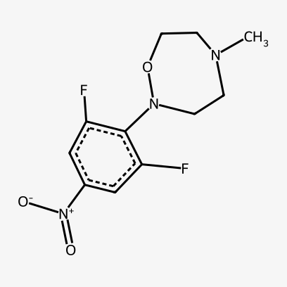 CN1CCON(c2c(F)cc([N+](=O)[O-])cc2F)CC1